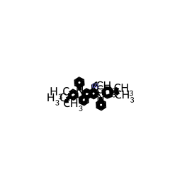 C/C=C\c1c(C)c(N(C2=CCC[C@H](C(C)C)C=C2)c2ccccc2)cc2c1cc(N(C1=C=C(C)C(C(C)C)C=C1)c1ccccc1)c1ccccc12